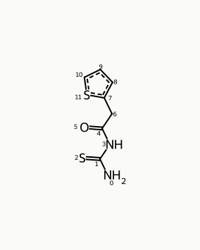 NC(=S)NC(=O)Cc1cccs1